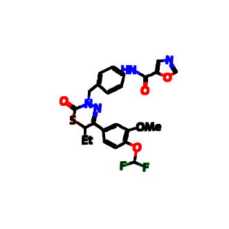 CCC1SC(=O)N(Cc2ccc(NC(=O)c3cnco3)cc2)N=C1c1ccc(OC(F)F)c(OC)c1